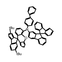 CC(C)(C)c1ccc2c(c1)C1(c3ccccc3Oc3c(N(c4ccc(-c5ccccc5)cc4)c4ccc5c(c4)C4(c6ccccc6-c6ccccc64)c4ccccc4-5)cccc31)c1cc(C(C)(C)C)ccc1-2